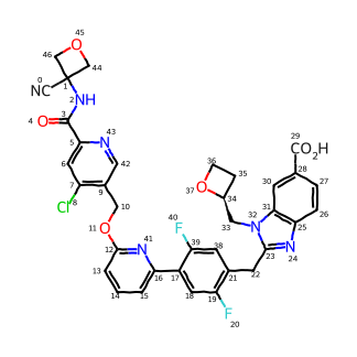 N#CC1(NC(=O)c2cc(Cl)c(COc3cccc(-c4cc(F)c(Cc5nc6ccc(C(=O)O)cc6n5C[C@@H]5CCO5)cc4F)n3)cn2)COC1